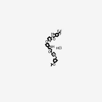 Cc1cc(C(F)(F)F)ccc1C(=O)Nc1ccc(Oc2ccc3cc(CC(=O)N4CCN(Cc5ccc(OC(C)C)cc5)CC4)[nH]c3c2)nc1.Cl